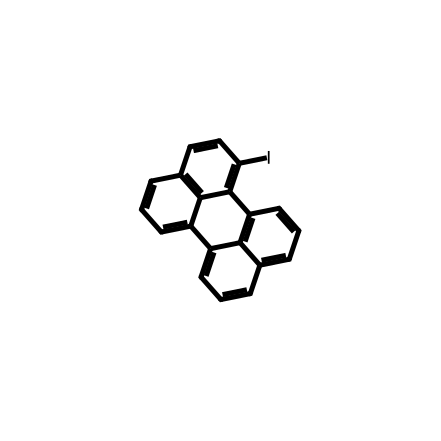 Ic1ccc2cccc3c4cccc5cccc(c1c23)c54